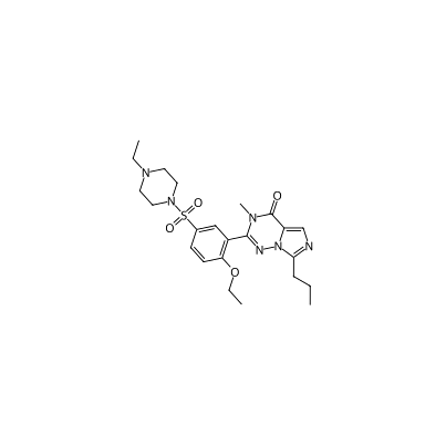 CCCc1ncc2c(=O)n(C)c(-c3cc(S(=O)(=O)N4CCN(CC)CC4)ccc3OCC)nn12